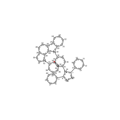 c1ccc(-c2nnc(-c3ccccc3)n2-c2ccc(-n3c4ccccc4c4ccc5ccn(-c6ccccc6)c5c43)cc2)cc1